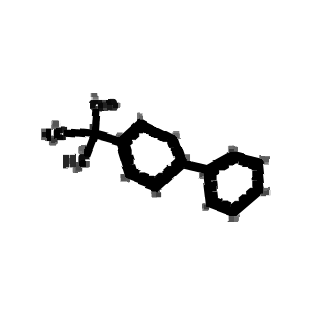 CC(C)([C]=O)c1ccc(-c2ccccc2)cc1